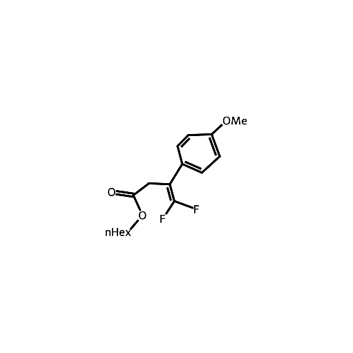 CCCCCCOC(=O)CC(=C(F)F)c1ccc(OC)cc1